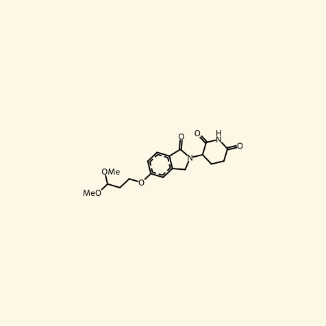 COC(CCOc1ccc2c(c1)CN(C1CCC(=O)NC1=O)C2=O)OC